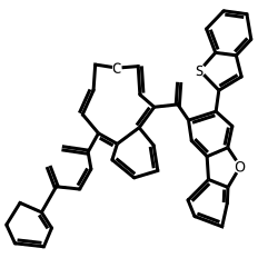 C=C(/C=C\C(=C)C1=c2\cccc\c2=C(C(=C)c2cc3c(cc2-c2cc4ccccc4s2)oc2ccccc23)\C=C\CC\C=C\1)C1=CC=CCC1